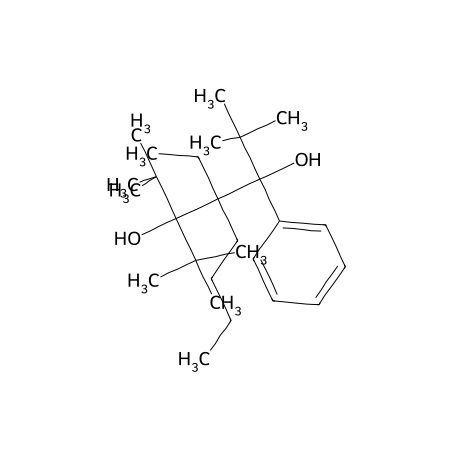 CCCCC(CC)(C(O)(c1ccccc1)C(C)(C)C)C(O)(C(C)(C)C)C(C)(C)C